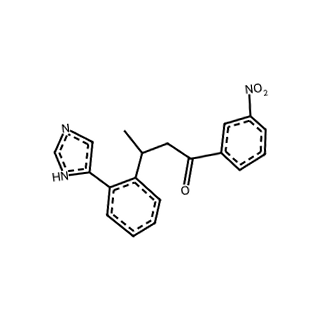 CC(CC(=O)c1cccc([N+](=O)[O-])c1)c1ccccc1-c1cnc[nH]1